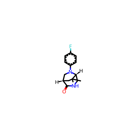 CC1(C)C[C@H]2CN(c3ccc(F)cc3)[C@@H]1CNC2=O